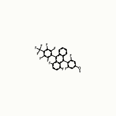 COc1cc(F)c(-c2c3ccccc3c(-c3c(F)c(F)c(C(F)(F)F)c(F)c3F)c3c(F)ccc(F)c23)c(F)c1